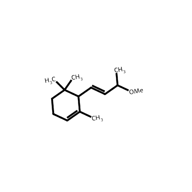 COC(C)C=CC1C(C)=CCCC1(C)C